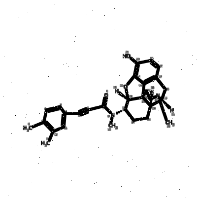 Cc1ccc(C#CC(=O)N(C)[C@H]2CC[C@H]3[C@H]4Cc5ccc(O)c6c5[C@@]3(CCN4C)[C@H]2O6)cc1C